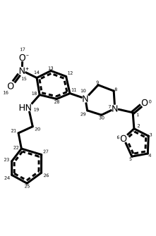 O=C(c1ccco1)N1CCN(c2ccc([N+](=O)[O-])c(NCCc3ccccc3)c2)CC1